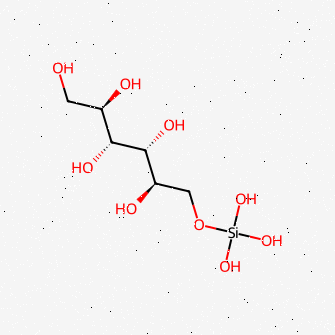 OC[C@@H](O)[C@@H](O)[C@H](O)[C@H](O)CO[Si](O)(O)O